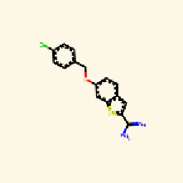 N=C(N)c1cc2ccc(OCc3ccc(Cl)cc3)cc2s1